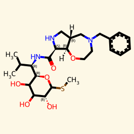 CSC1O[C@H]([C@H](NC(=O)[C@H]2NC[C@@H]3CN(Cc4ccccc4)CCO[C@H]32)C(C)C)C(O)C(O)[C@H]1O